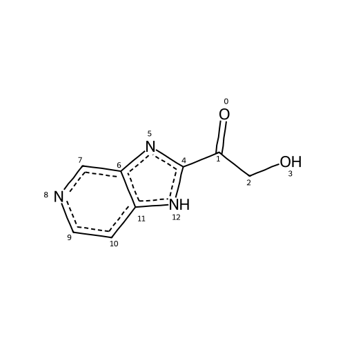 O=C(CO)c1nc2cnccc2[nH]1